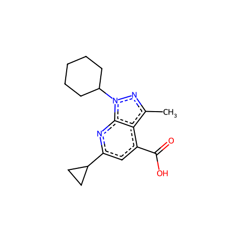 Cc1nn(C2CCCCC2)c2nc(C3CC3)cc(C(=O)O)c12